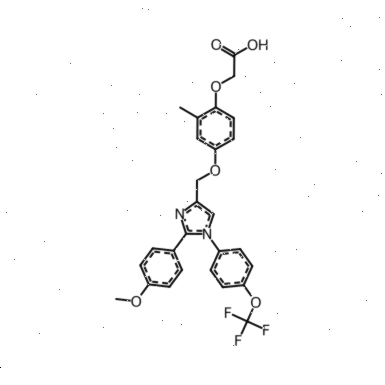 COc1ccc(-c2nc(COc3ccc(OCC(=O)O)c(C)c3)cn2-c2ccc(OC(F)(F)F)cc2)cc1